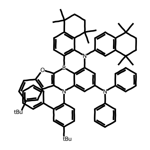 CC(C)(C)c1ccc(N2c3cc(N(c4ccccc4)c4ccccc4)cc4c3B(c3ccc5c(c3N4c3ccc4c(c3)C(C)(C)CCC4(C)C)C(C)(C)CCC5(C)C)c3oc4ccc(C(C)(C)C)cc4c32)c(-c2ccccc2)c1